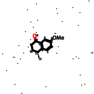 COc1ccc2c(c1)C(=O)CC[C@H]2C